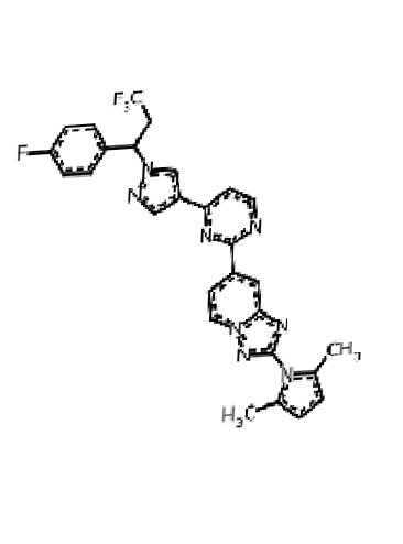 Cc1ccc(C)n1-c1nc2cc(-c3nccc(-c4cnn(C(CC(F)(F)F)c5ccc(F)cc5)c4)n3)ccn2n1